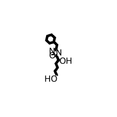 OCCCCC(O)c1nc(CC2CCCCC2)no1